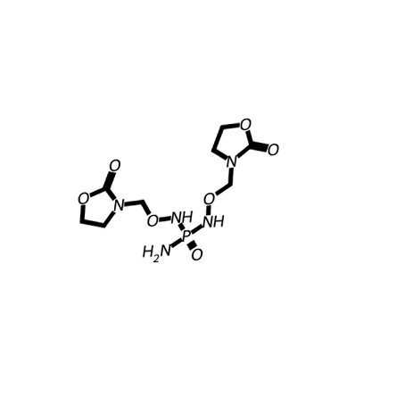 NP(=O)(NOCN1CCOC1=O)NOCN1CCOC1=O